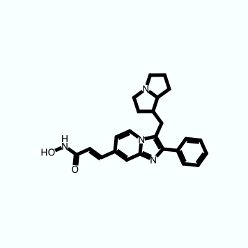 O=C(C=Cc1ccn2c(CC3CCN4CCCC34)c(-c3ccccc3)nc2c1)NO